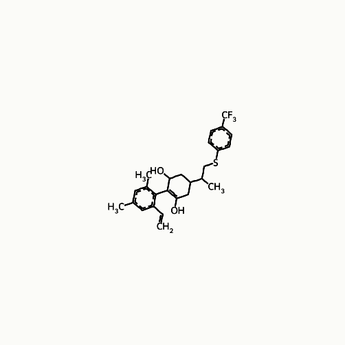 C=Cc1cc(C)cc(C)c1C1=C(O)CC(C(C)CSc2ccc(C(F)(F)F)cc2)CC1O